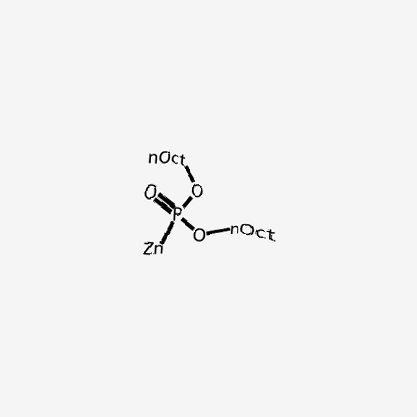 CCCCCCCCO[P](=O)([Zn])OCCCCCCCC